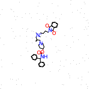 C=C(CN1CCC(OC(=O)NC(c2ccccc2)c2ccccc2)CC1)C[N+](C)(C)CCCCN1C(=O)c2ccccc2C1=O